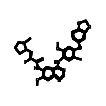 COc1cc2ncnc(Nc3cc(C)c(Oc4ccc5c(c4)OCO5)cc3OC)c2cc1NC(=O)C(F)=CC1CCCN1C